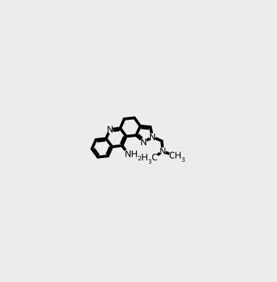 CN(C)Cn1cc2c(n1)-c1c(nc3ccccc3c1N)CC2